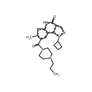 CCCN1CCN(C(=O)c2cc3c(cc2C)[nH]c(=O)c2cnn(C4CCC4)c23)CC1